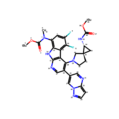 CN(C(=O)OC(C)(C)C)c1cc(F)c(F)c2c1[nH]c1ncc(-c3cnc4ccnn4c3)c(N3CC[C@@]4(C[C@H]4NC(=O)OC(C)(C)C)C3)c12